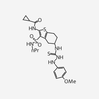 CCCNS(=O)(=O)c1c(NC(=O)C2CC2)sc2c1CC(NC(=S)NNc1ccc(OC)cc1)CC2